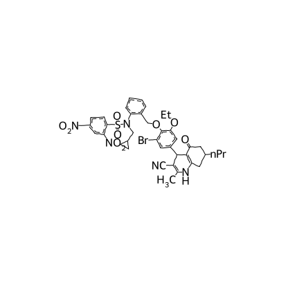 CCCC1CC(=O)C2=C(C1)NC(C)=C(C#N)C2c1cc(Br)c(OCc2ccccc2N(CC2CC2)S(=O)(=O)c2ccc([N+](=O)[O-])cc2[N+](=O)[O-])c(OCC)c1